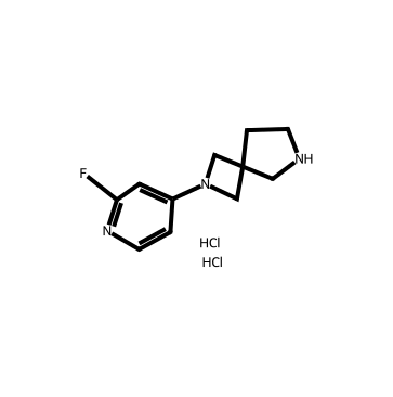 Cl.Cl.Fc1cc(N2CC3(CCNC3)C2)ccn1